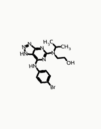 CC(C)N(CCO)c1nc(Nc2ccc(Br)cc2)c2[nH]nnc2n1